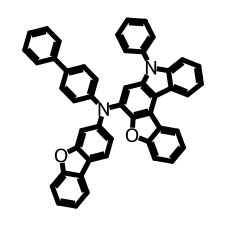 c1ccc(-c2ccc(N(c3ccc4c(c3)oc3ccccc34)c3cc4c(c5ccccc5n4-c4ccccc4)c4c3oc3ccccc34)cc2)cc1